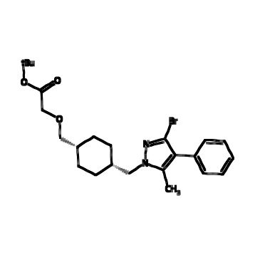 Cc1c(-c2ccccc2)c(Br)nn1C[C@H]1CC[C@@H](COCC(=O)OC(C)(C)C)CC1